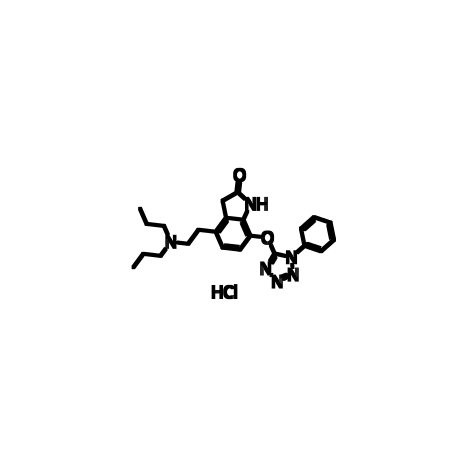 CCCN(CCC)CCc1ccc(Oc2nnnn2-c2ccccc2)c2c1CC(=O)N2.Cl